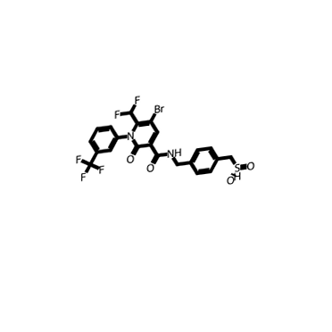 O=C(NCc1ccc(C[SH](=O)=O)cc1)c1cc(Br)c(C(F)F)n(-c2cccc(C(F)(F)F)c2)c1=O